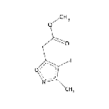 COC(=O)Cc1onc(C)c1I